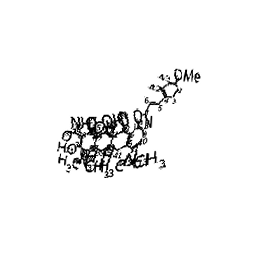 COc1ccc(C=Cc2nc3cc(N(C)C)c4c(c3o2)C(=O)C2=C(O)[C@]3(O)C(=O)C(C(N)=O)=C(O)[C@@H](N(C)C)[C@@H]3C[C@@H]2C4)cc1